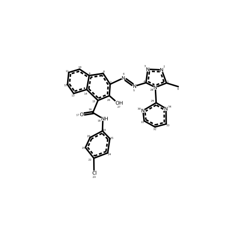 Cc1nnc(/N=N/c2cc3ccccc3c(C(=O)Nc3ccc(Cl)cc3)c2O)n1-c1ncccn1